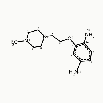 CN1CCN(CCOc2cc(N)ccc2N)CC1